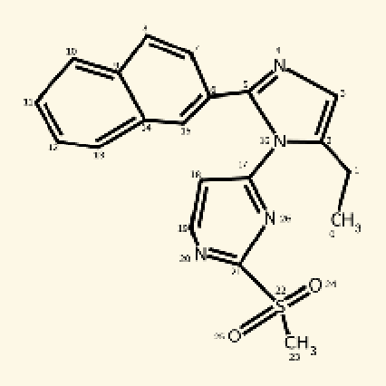 CCc1cnc(-c2ccc3ccccc3c2)n1-c1ccnc(S(C)(=O)=O)n1